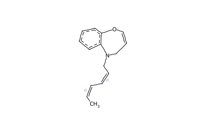 C/C=C\C=C/CN1CC=COc2ccccc21